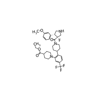 CCOC(=O)C1CCN(c2cc(C(F)(F)F)ccc2C2CCN(C(=O)[C@]3(F)CNC[C@H]3c3cccc(OC)c3)CC2)CC1